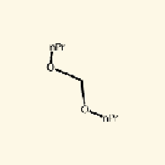 CCCOCOCCC